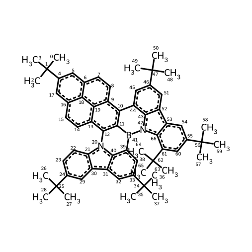 CC(C)(C)c1cc2ccc3c4c5c(c6ccc(c1)c2c36)-n1c2ccc(C(C)(C)C)cc2c2cc(C(C)(C)C)cc(c21)B5n1c2c-4cc(C(C)(C)C)cc2c2cc(C(C)(C)C)cc(C(C)(C)C)c21